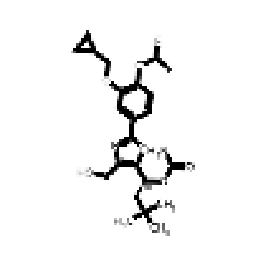 CC(C)(C)C[C@H](OC(N)=O)c1oc(-c2ccc(OC(F)F)c(OCC3CC3)c2)nc1CO